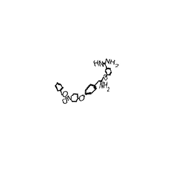 N=C(N)c1cccc(OC[C@H](N)Cc2ccc(OC3CCN(C(=O)OCc4ccccc4)CC3)cc2)c1